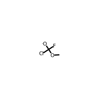 COC([O])(F)Cl